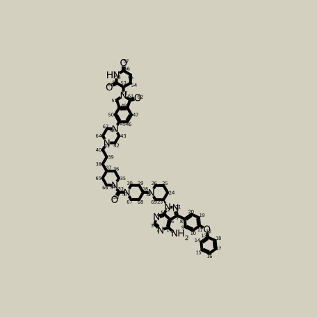 Nc1ncnc2c1c(-c1ccc(Oc3ccccc3)cc1)nn2[C@@H]1CCCN(C2CCN(C(=O)N3CCC(CCCN4CCN(c5ccc6c(c5)CN(C5CCC(=O)NC5=O)C6=O)CC4)CC3)CC2)C1